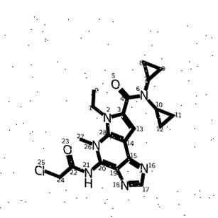 CCn1c(C(=O)N(C2CC2)C2CC2)cc2c3ncnc-3c(NC(=O)CCl)n(C)c21